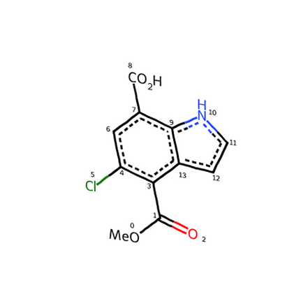 COC(=O)c1c(Cl)cc(C(=O)O)c2[nH]ccc12